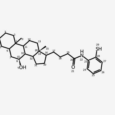 CC12CCCCC1C[C@H](O)C1C2CC[C@]2(C)C(CCCC(=O)Nc3ccccc3S)CCC12